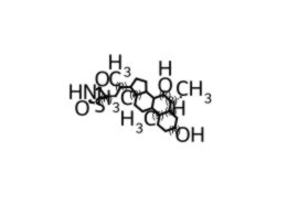 CC[C@H]1[C@@H](O)C2C3CCC([C@H](C)C[C@H]4SC(=O)NC4=O)[C@@]3(C)CCC2[C@@]2(C)CC[C@@H](O)C[C@@H]12